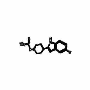 CC(C)(C)C(=O)ON1CCC(c2cc3cc(Br)ccc3[nH]2)CC1